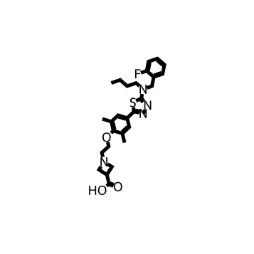 CCCCN(Cc1ccccc1F)c1nnc(-c2cc(C)c(OCCN3CC(C(=O)O)C3)c(C)c2)s1